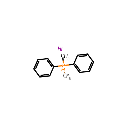 C[PH](c1ccccc1)(c1ccccc1)C(F)(F)F.I